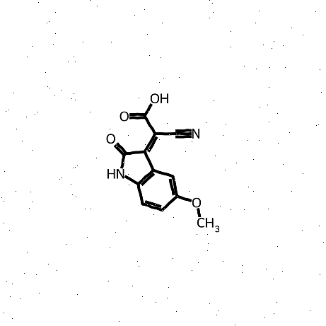 COc1ccc2c(c1)/C(=C(\C#N)C(=O)O)C(=O)N2